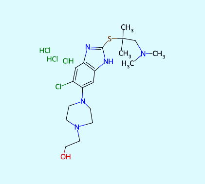 CN(C)CC(C)(C)Sc1nc2cc(Cl)c(N3CCN(CCO)CC3)cc2[nH]1.Cl.Cl.Cl